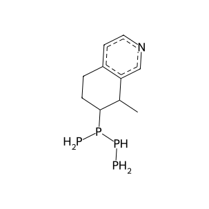 CC1c2cnccc2CCC1P(P)PP